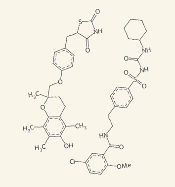 COc1ccc(Cl)cc1C(=O)NCCc1ccc(S(=O)(=O)NC(=O)NC2CCCCC2)cc1.Cc1c(C)c2c(c(C)c1O)CCC(C)(COc1ccc(CC3SC(=O)NC3=O)cc1)O2